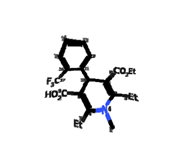 CCOC(=O)C1=C(CC)N(C)C(CC)=C(C(=O)O)C1c1ccccc1C(F)(F)F